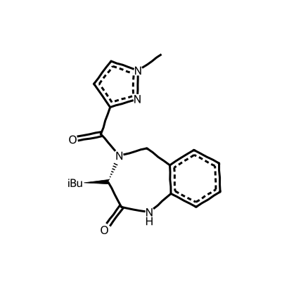 CC[C@H](C)[C@H]1C(=O)Nc2ccccc2CN1C(=O)c1ccn(C)n1